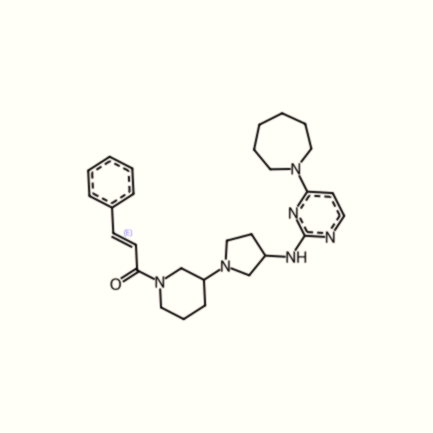 O=C(/C=C/c1ccccc1)N1CCCC(N2CCC(Nc3nccc(N4CCCCCC4)n3)C2)C1